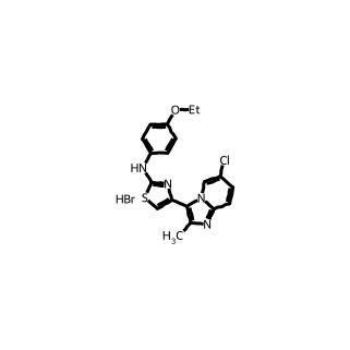 Br.CCOc1ccc(Nc2nc(-c3c(C)nc4ccc(Cl)cn34)cs2)cc1